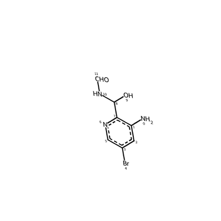 Nc1cc(Br)cnc1C(O)NC=O